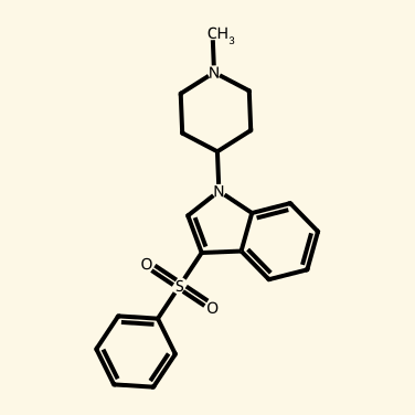 CN1CCC(n2cc(S(=O)(=O)c3ccccc3)c3ccccc32)CC1